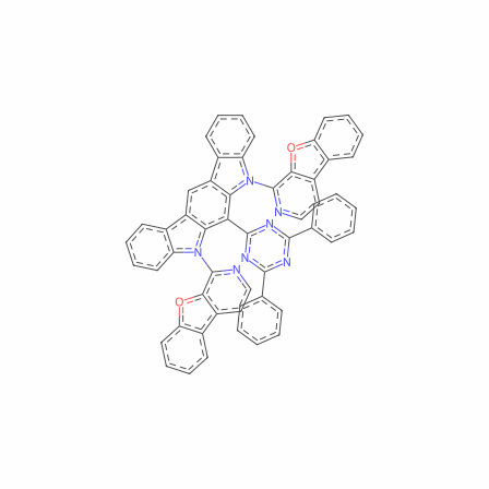 c1ccc(-c2nc(-c3ccccc3)nc(-c3c4c(cc5c6ccccc6n(-c6nccc7c6oc6ccccc67)c35)c3ccccc3n4-c3nccc4c3oc3ccccc34)n2)cc1